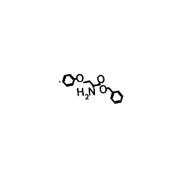 NC(CCOc1cc[c]cc1)C(=O)OCc1ccccc1